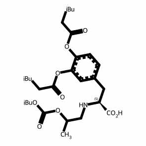 CCC(C)CC(=O)Oc1ccc(C[C@H](NCC(C)OC(=O)OCC(C)C)C(=O)O)cc1OC(=O)CC(C)CC